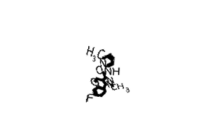 Cc1cccc(NC(=O)c2nn(C)c3c2COc2cc(F)ccc2-3)n1